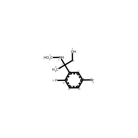 CC(CO)(NC(=O)O)c1cc(Br)ccc1F